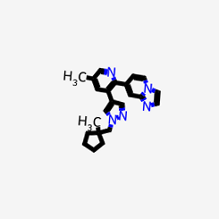 Cc1cnc(-c2ccn3ccnc3c2)c(-c2cnn(CC3(C)CCCC3)c2)c1